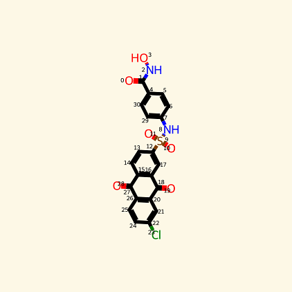 O=C(NO)c1ccc(NS(=O)(=O)c2ccc3c(c2)C(=O)c2cc(Cl)ccc2C3=O)cc1